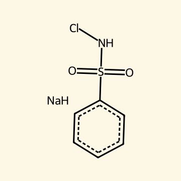 O=S(=O)(NCl)c1ccccc1.[NaH]